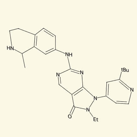 CCn1c(=O)c2cnc(Nc3ccc4c(c3)C(C)NCC4)nc2n1-c1ccnc(C(C)(C)C)c1